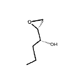 CCC[C@@H](O)[C@H]1CO1